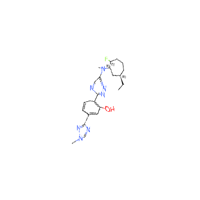 CC[C@@H]1CCC[C@H](F)[C@H](N(C)c2cnc(-c3ccc(-c4ncn(C)n4)cc3O)nn2)C1